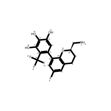 NC[C@H]1CCc2cc(F)cc(-c3cc(O)c(O)c(O)c3C(F)(F)F)c2O1